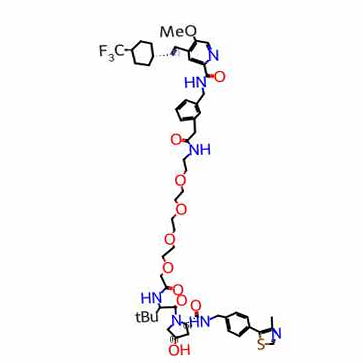 COc1cnc(C(=O)NCc2cccc(CC(=O)NCCOCCOCCOCCOCC(=O)NC(C(=O)N3C[C@H](O)C[C@H]3C(=O)NCc3ccc(-c4scnc4C)cc3)C(C)(C)C)c2)cc1/C=C/[C@H]1CC[C@H](C(F)(F)F)CC1